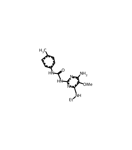 CCNc1nc(NC(=O)Nc2ccc(C)cc2)nc(N)c1OC